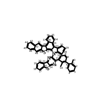 Cc1ccccc1-c1cccc(-c2nc3sc4ccccc4c3nc2-n2c3ccccc3c3c4ccccc4c4c5cc6ccccc6cc5sc4c32)c1C